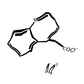 O=C([O-])c1ccnc2ccccc12.[Ag+]